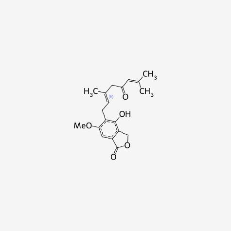 COc1cc2c(c(O)c1C/C=C(\C)CC(=O)C=C(C)C)COC2=O